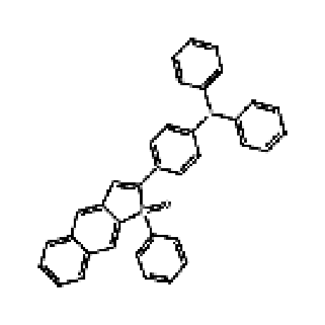 O=P1(c2ccccc2)C(c2ccc(N(c3ccccc3)c3ccccc3)cc2)=Cc2cc3ccccc3cc21